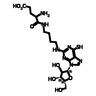 NC(CCC(=O)O)C(=O)NCCCCNc1nc(S)c2ncn([C@@H]3O[C@H](CO)[C@H](O)C3O)c2n1